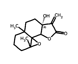 C=C1C(=O)OC2C34OC3(C)CCCC4(C)CC[C@@]12O